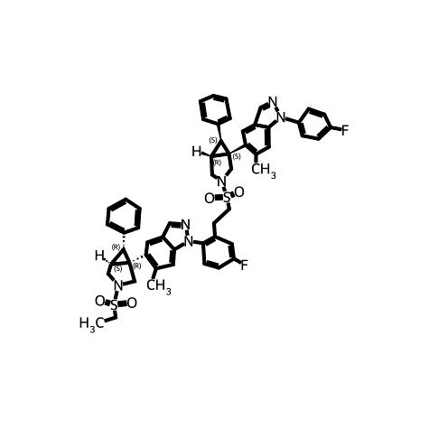 CCS(=O)(=O)N1C[C@H]2[C@H](c3ccccc3)[C@@]2(c2cc3cnn(-c4ccc(F)cc4CCS(=O)(=O)N4C[C@@H]5[C@@H](c6ccccc6)[C@]5(c5cc6cnn(-c7ccc(F)cc7)c6cc5C)C4)c3cc2C)C1